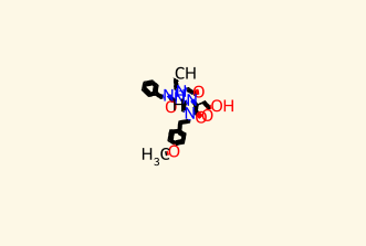 C#CCN1CC(=O)N2[C@@H](CC(=O)O)C(=O)N(CCc3ccc(OC)cc3)C[C@@H]2N1C(=O)NCc1ccccc1